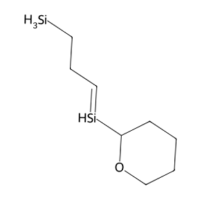 [SiH3]CCC=[SiH]C1CCCCO1